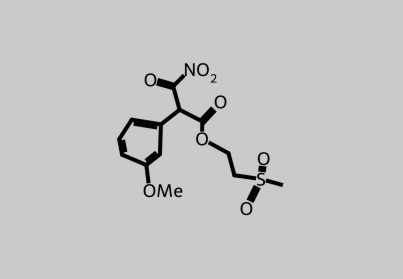 COc1cccc(C(C(=O)OCCS(C)(=O)=O)C(=O)[N+](=O)[O-])c1